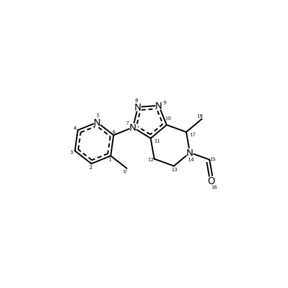 Cc1cccnc1-n1nnc2c1CCN(C=O)C2C